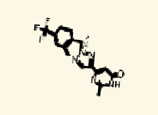 Cc1nc(-c2cnn([C@@H](C)c3ccc(C(F)(F)F)cc3C)n2)cc(=O)[nH]1